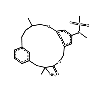 CC1CCc2cccc(c2)CC(C)(N)C(=O)OCc2cc(cc(N(C)S(C)(=O)=O)c2)OC1